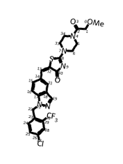 COCC(=O)N1CCN(C2=NC(=O)C(=Cc3ccc4c(cnn4Cc4ccc(Cl)cc4C(F)(F)F)c3)S2)CC1